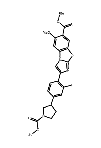 COc1cc2c(cc1C(=O)OC(C)(C)C)sc1nc(-c3ccc(C4CCN(C(=O)OC(C)(C)C)C4)cc3F)cn12